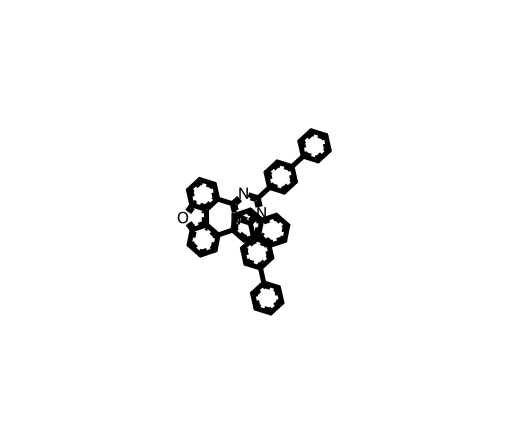 c1ccc(-c2ccc(-c3nc(-c4ccc(-c5ccccc5)cc4)nc(-c4cccc5oc6cccc(-c7ccc8ccccc8c7)c6c45)n3)cc2)cc1